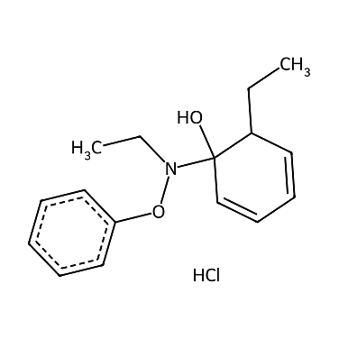 CCC1C=CC=CC1(O)N(CC)Oc1ccccc1.Cl